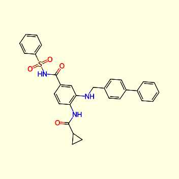 O=C(NS(=O)(=O)c1ccccc1)c1ccc(NC(=O)C2CC2)c(NCc2ccc(-c3ccccc3)cc2)c1